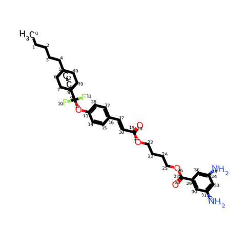 CCCCCC12CCC(C(F)(F)Oc3ccc(C=CC(=O)OCCCCOC(=O)c4cc(N)cc(N)c4)cc3)(CC1)CC2